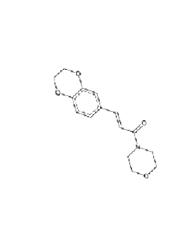 O=C(/C=C/c1ccc2c(c1)OCCO2)N1CCOCC1